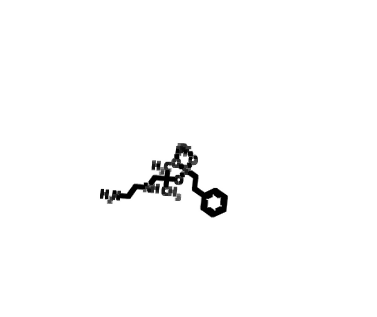 CC(C)O[Si](CCc1ccccc1)(OC(C)C)OC(C)(C)CNCCN